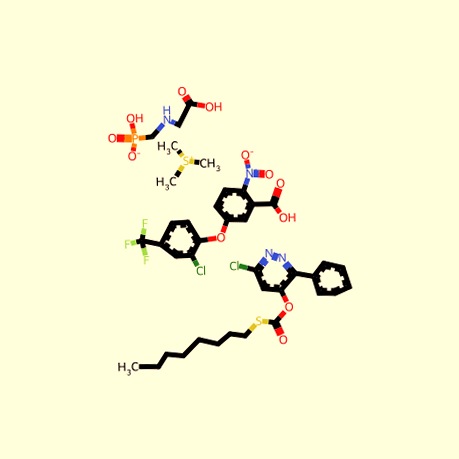 CCCCCCCCSC(=O)Oc1cc(Cl)nnc1-c1ccccc1.C[S+](C)C.O=C(O)CNCP(=O)([O-])O.O=C(O)c1cc(Oc2ccc(C(F)(F)F)cc2Cl)ccc1[N+](=O)[O-]